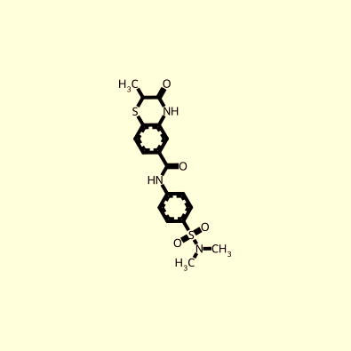 CC1Sc2ccc(C(=O)Nc3ccc(S(=O)(=O)N(C)C)cc3)cc2NC1=O